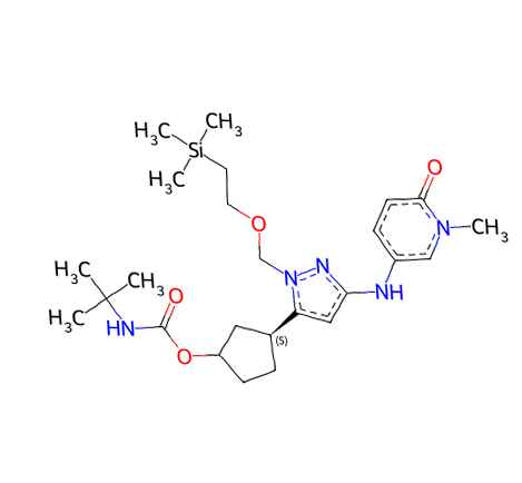 Cn1cc(Nc2cc([C@H]3CCC(OC(=O)NC(C)(C)C)C3)n(COCC[Si](C)(C)C)n2)ccc1=O